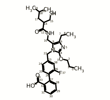 CCCOc1nc(CC)c(CNC(=O)C(CS)CC(C)C)n1Cc1ccc(-c2ccccc2C(=O)O)c(F)c1